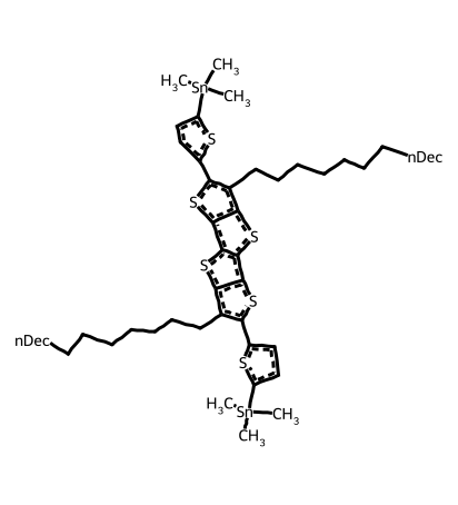 CCCCCCCCCCCCCCCCCc1c(-c2cc[c]([Sn]([CH3])([CH3])[CH3])s2)sc2c1sc1c3sc(-c4cc[c]([Sn]([CH3])([CH3])[CH3])s4)c(CCCCCCCCCCCCCCCCC)c3sc21